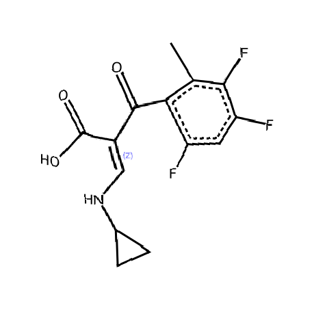 Cc1c(F)c(F)cc(F)c1C(=O)/C(=C/NC1CC1)C(=O)O